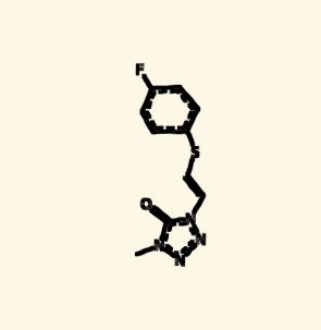 Cn1nnn(/C=C/Sc2ccc(F)cc2)c1=O